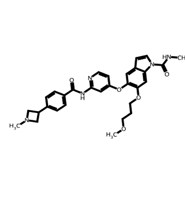 CNC(=O)n1ccc2cc(Oc3ccnc(NC(=O)c4ccc(C5CN(C)C5)cc4)c3)c(OCCCOC)cc21